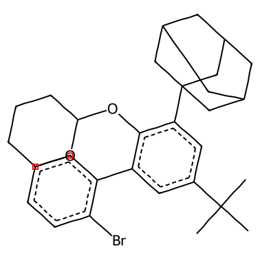 CC(C)(C)c1cc(-c2ccccc2Br)c(OC2CCCCO2)c(C23CC4CC(CC(C4)C2)C3)c1